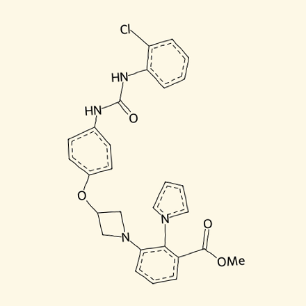 COC(=O)c1cccc(N2CC(Oc3ccc(NC(=O)Nc4ccccc4Cl)cc3)C2)c1-n1cccc1